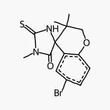 CN1C(=O)C2(NC1=S)c1cc(Br)ccc1OCC2(C)C